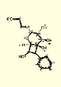 C=CCO[C@H]1O[C@@H]2C(O)C(c3ccccc3)[C@@]2(O)[C@H](O)[C@H]1O